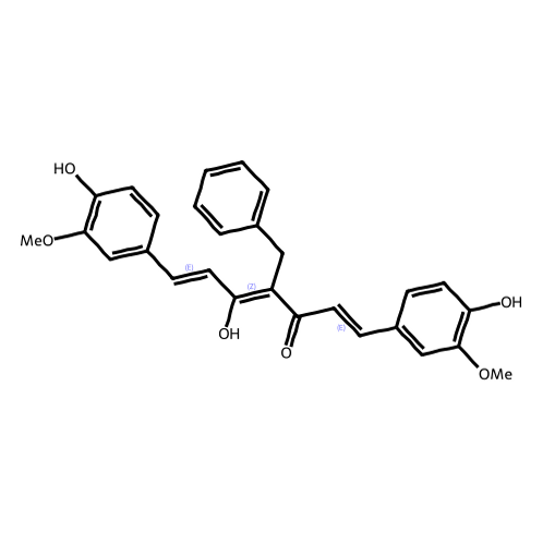 COc1cc(/C=C/C(=O)/C(Cc2ccccc2)=C(O)/C=C/c2ccc(O)c(OC)c2)ccc1O